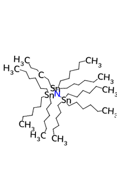 CCCCC[CH2][Sn]([CH2]CCCCC)([CH2]CCCCC)[N]([Sn]([CH2]CCCCC)([CH2]CCCCC)[CH2]CCCCC)[Sn]([CH2]CCCCC)([CH2]CCCCC)[CH2]CCCCC